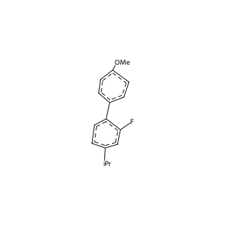 COc1ccc(-c2ccc(C(C)C)cc2F)cc1